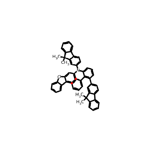 CC1(C)c2ccccc2-c2ccc(-c3cccc(N(c4ccc5c(c4)C(C)(C)c4ccccc4-5)c4ccc5c(c4)oc4ccccc45)c3-c3ccccc3)cc21